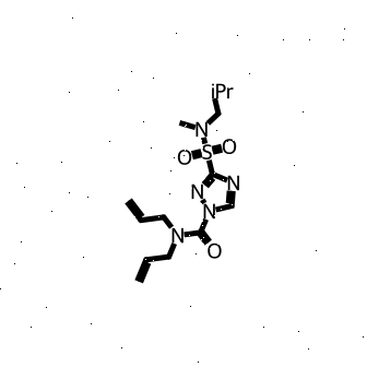 C=CCN(CC=C)C(=O)n1cnc(S(=O)(=O)N(C)CC(C)C)n1